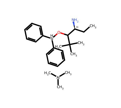 CC[C@H](N)C(O[SiH](c1ccccc1)c1ccccc1)C(C)(C)C.[CH3][Al]([CH3])[CH3]